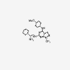 COc1ccc(Nc2nc(NC[C@H](N)c3ccccc3)nc3c2cnn3C)cc1